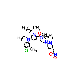 CCC(C)Cc1nc(C(=O)N2CCN(c3ccc(CC(=O)N=O)cn3)CC2(C)C)ccc1N(CC)c1ccc(Cl)c(C)c1